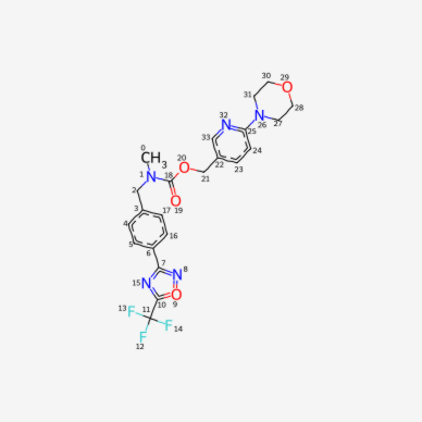 CN(Cc1ccc(-c2noc(C(F)(F)F)n2)cc1)C(=O)OCc1ccc(N2CCOCC2)nc1